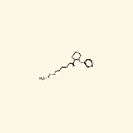 CCCCCCCCCC(=O)C1CCCCN1Sc1ccncc1